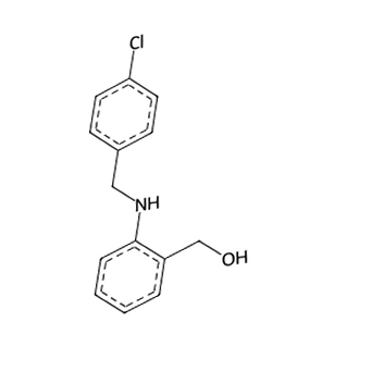 OCc1ccccc1NCc1ccc(Cl)cc1